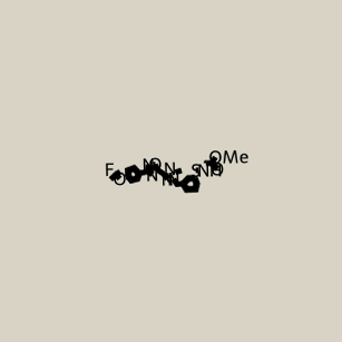 COC(=O)CNSc1cccc(Cn2nc(-c3nc(-c4ccc(OC(C)(C)F)cc4)no3)nc2C)c1